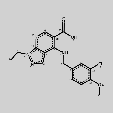 CCn1ncc2c(NCc3ccc(OC)c(Cl)c3)c(C(=O)O)cnc21